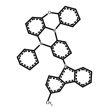 Cc1ccc2c(c1)c1ccccc1n2-c1ccc2c(c1)N(c1ccccc1)c1cccc3c1B2c1ccccc1O3